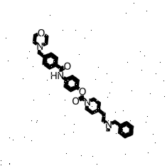 CN(CCC1CCN(C(=O)Oc2ccc(NC(=O)c3ccc(CN4CCOCC4)cc3)cc2)CC1)Cc1ccccc1